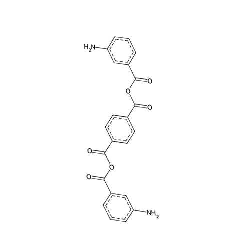 Nc1cccc(C(=O)OC(=O)c2ccc(C(=O)OC(=O)c3cccc(N)c3)cc2)c1